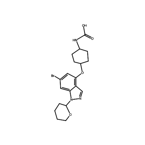 O=C(O)NC1CCC(Oc2cc(Br)cc3c2cnn3C2CCCCO2)CC1